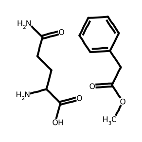 COC(=O)Cc1ccccc1.NC(=O)CCC(N)C(=O)O